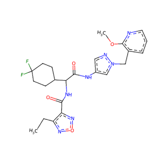 CCc1nonc1C(=O)NC(C(=O)Nc1cnn(Cc2cccnc2OC)c1)C1CCC(F)(F)CC1